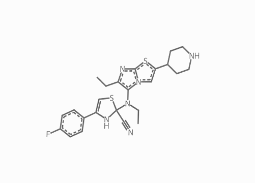 CCc1nc2sc(C3CCNCC3)cn2c1N(CC)C1(C#N)NC(c2ccc(F)cc2)=CS1